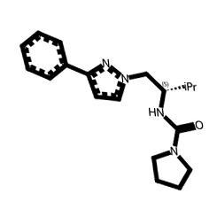 CC(C)[C@@H](Cn1ccc(-c2ccccc2)n1)NC(=O)N1CCCC1